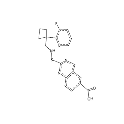 O=C(O)c1ccc2nc(SNCC3(c4ncccc4F)CCC3)ncc2c1